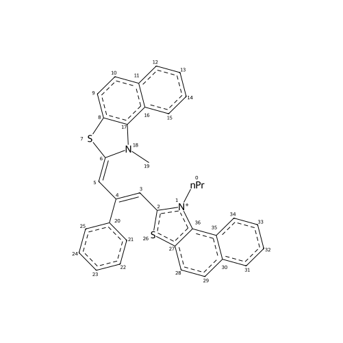 CCC[n+]1c(/C=C(/C=C2/Sc3ccc4ccccc4c3N2C)c2ccccc2)sc2ccc3ccccc3c21